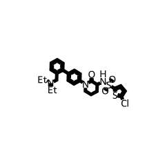 CCN(CC)Cc1ccccc1-c1ccc(N2CCCC(NS(=O)(=O)c3ccc(Cl)s3)C2=O)cc1